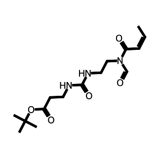 C/C=C\C(=O)N(C=O)CCNC(=O)NCCC(=O)OC(C)(C)C